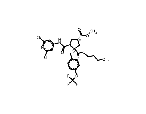 CCCCOC(=O)[C@]1(Cc2ccc(OC(F)(F)F)cc2)C[C@@H](C(=O)OC)CN1C(=O)Nc1cc(Cl)nc(Cl)c1